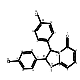 O=c1cccc2n1C(c1ccc(Cl)cc1)C(c1ccc(Cl)cc1)N2